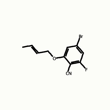 C/C=C/COc1cc(Br)cc(F)c1C#N